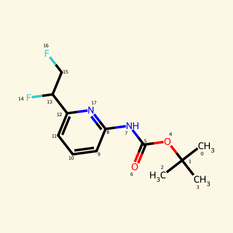 CC(C)(C)OC(=O)Nc1cccc(C(F)CF)n1